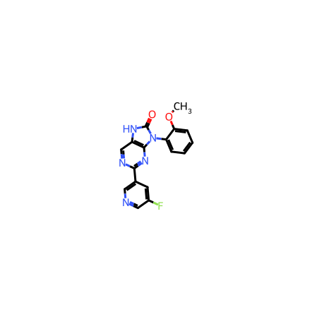 COc1ccccc1-n1c(=O)[nH]c2cnc(-c3cncc(F)c3)nc21